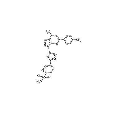 NS(=O)(=O)c1ccc(-c2nc(-c3ncn4c(C(F)(F)F)cc(-c5ccc(C(F)(F)F)cc5)nc34)no2)cc1